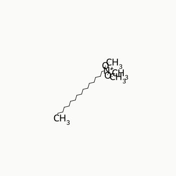 CCCCCCCCCCCCCCCC[N+](CC)(OC)OC